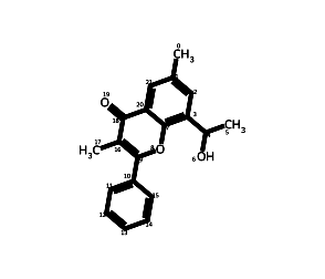 Cc1cc(C(C)O)c2oc(-c3ccccc3)c(C)c(=O)c2c1